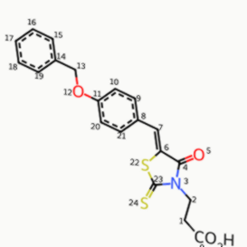 O=C(O)CCN1C(=O)C(=Cc2ccc(OCc3ccccc3)cc2)SC1=S